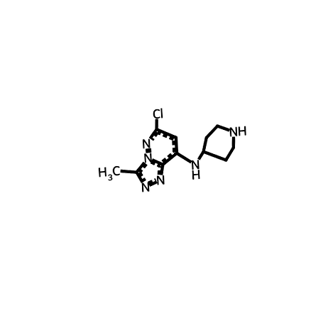 Cc1nnc2c(NC3CCNCC3)cc(Cl)nn12